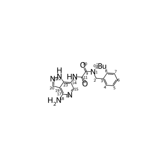 CC[C@@H](C)N(Cc1ccccc1)C(=O)C(=O)Nc1cnc(N)c2cn[nH]c12